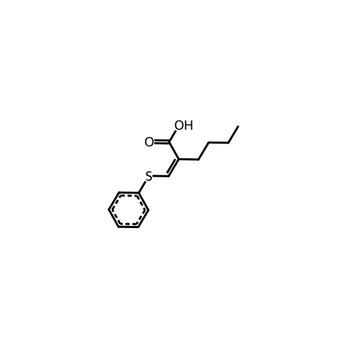 CCCC/C(=C/Sc1ccccc1)C(=O)O